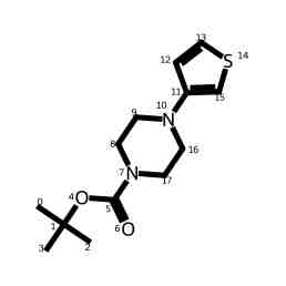 CC(C)(C)OC(=O)N1CCN(c2ccsc2)CC1